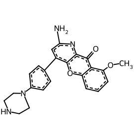 COc1cccc2oc3c(-c4ccc(N5CCNCC5)cc4)cc(N)nc3c(=O)c12